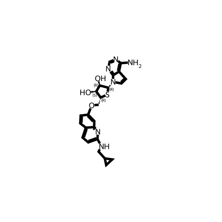 Nc1ncnc2c1ccn2[C@@H]1S[C@H](COc2ccc3ccc(NCC4CC4)nc3c2)[C@@H](O)[C@H]1O